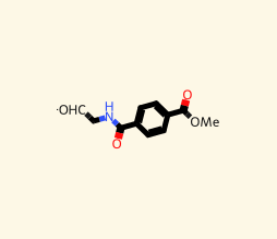 COC(=O)c1ccc(C(=O)NC[C]=O)cc1